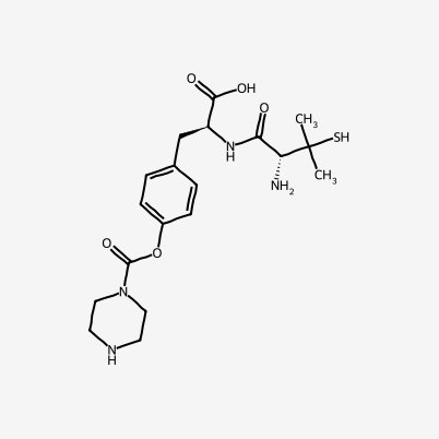 CC(C)(S)[C@H](N)C(=O)N[C@@H](Cc1ccc(OC(=O)N2CCNCC2)cc1)C(=O)O